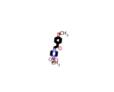 COc1ccc(C(=O)CN2CCN(S(C)(=O)=O)CC2)cc1